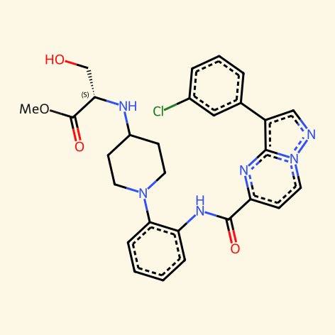 COC(=O)[C@H](CO)NC1CCN(c2ccccc2NC(=O)c2ccn3ncc(-c4cccc(Cl)c4)c3n2)CC1